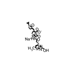 Cc1cc(SCC(=O)N[C@@H]2C(=O)N3C(C(=O)[O-])=C(/C=C4\CCN(C5CC5)C4=O)CS[C@H]23)n2nc(CO)nc2n1.[Na+]